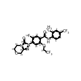 Cc1cc(C(F)(F)F)ccc1NC(=O)c1cc(F)c(-n2nc3n(c2=O)CCOC3)cc1OCC(F)(F)F